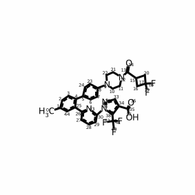 Cc1ccc(-c2ccc(N3CCN(C(=O)C4CC(F)(F)C4)CC3)cc2)c(-c2cccc(-n3ncc(C(=O)O)c3C(F)(F)F)n2)c1